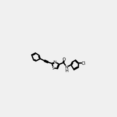 O=C(Nc1ccc(Cl)cc1)c1csc(C#Cc2ccccc2)n1